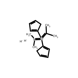 C[C](C)=[Zr]([C]1=CC=CC1)([C]1=CC=CC1)=[Si](C)C.[H-].[H-]